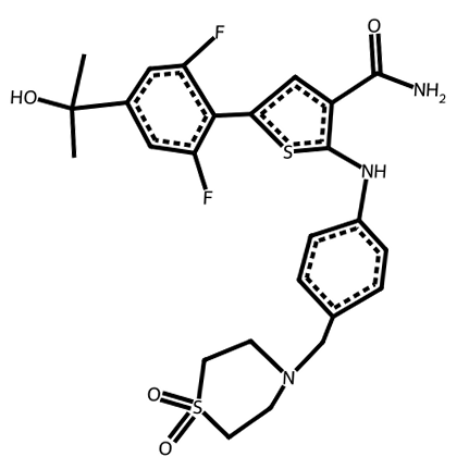 CC(C)(O)c1cc(F)c(-c2cc(C(N)=O)c(Nc3ccc(CN4CCS(=O)(=O)CC4)cc3)s2)c(F)c1